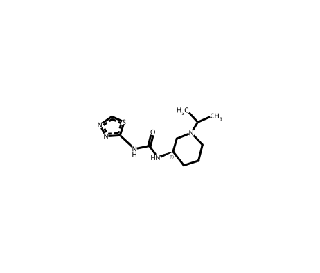 CC(C)N1CCC[C@@H](NC(=O)Nc2nncs2)C1